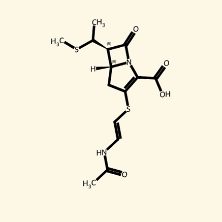 CSC(C)[C@H]1C(=O)N2C(C(=O)O)=C(SC=CNC(C)=O)C[C@H]12